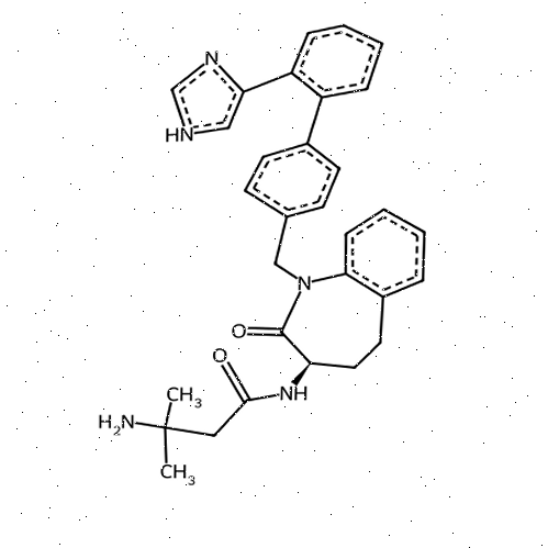 CC(C)(N)CC(=O)N[C@@H]1CCc2ccccc2N(Cc2ccc(-c3ccccc3-c3c[nH]cn3)cc2)C1=O